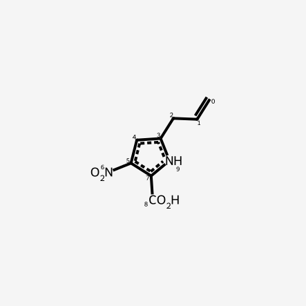 C=CCc1cc([N+](=O)[O-])c(C(=O)O)[nH]1